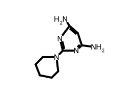 Nc1cc(N)nc(N2CCCCC2)n1